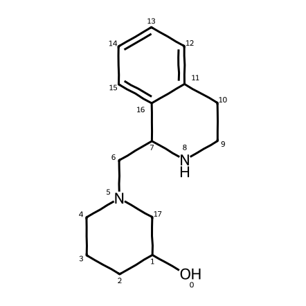 OC1CCCN(CC2NCCc3ccccc32)C1